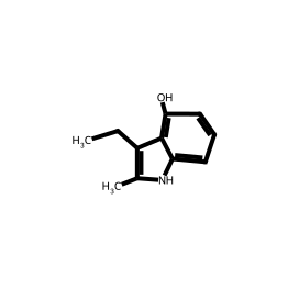 CCc1c(C)[nH]c2cccc(O)c12